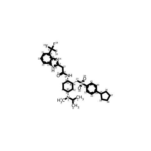 CC(C)N(C)[C@@H]1CC[C@H](NC(=O)Cc2nc3c(C(F)(F)F)cccc3[nH]2)[C@H](CS(=O)(=O)c2ccc(C3CCCC3)cc2)C1